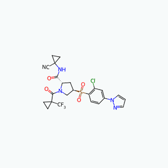 N#CC1(NC(=O)[C@@H]2C[C@@H](S(=O)(=O)c3ccc(-n4cccn4)cc3Cl)CN2C(=O)C2(C(F)(F)F)CC2)CC1